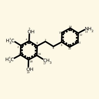 Cc1c(C)c(O)c(CCc2ccc(N)cc2)c(C)c1O